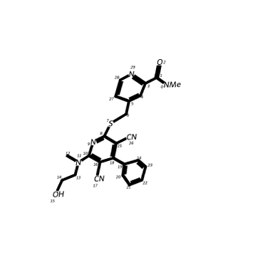 CNC(=O)c1cc(CSc2nc(N(C)CCO)c(C#N)c(-c3ccccc3)c2C#N)ccn1